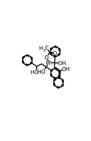 CC(=O)[O][Rh]([C](O)(CC(O)c1ccccc1)c1ccccc1)[C](O)(CC(O)c1ccccc1)c1ccccc1